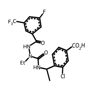 CCN(NC(=O)c1cc(F)cc(C(F)(F)F)c1)C(=O)NC(C)c1ccc(C(=O)O)cc1Cl